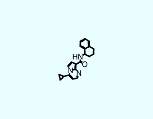 O=C(NC1CCCc2ccccc21)c1ccn2c(C3CC3)ccnc12